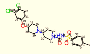 Cc1ccc(S(=O)(=O)NC(=O)N2CCC(N3CCC(Oc4ccc(Cl)c(Cl)c4)CC3)CC2)cc1